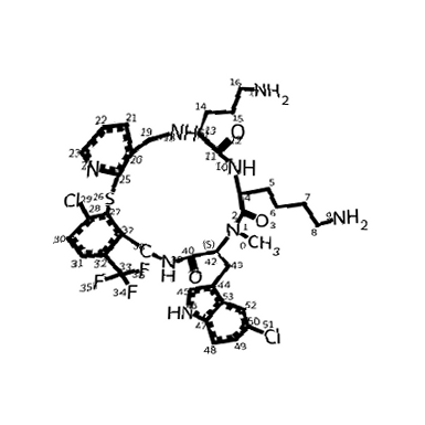 CN1C(=O)C(CCCCN)NC(=O)[C@H](CCCN)NCc2cccnc2Sc2c(Cl)ccc(C(F)(F)F)c2CNC(=O)[C@@H]1Cc1c[nH]c2ccc(Cl)cc12